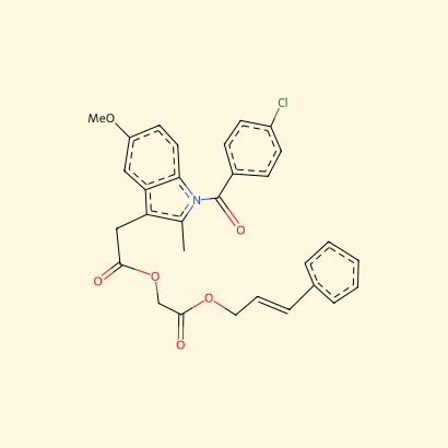 COc1ccc2c(c1)c(CC(=O)OCC(=O)OCC=Cc1ccccc1)c(C)n2C(=O)c1ccc(Cl)cc1